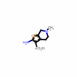 CCOC(=O)c1c(N)sc2c1CCN(C)C2